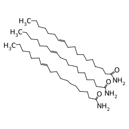 CCCCCCC=CCCCCCCCCCC(N)=O.CCCCCCC=CCCCCCCCCCC(N)=O.CCCCCCC=CCCCCCCCCCC(N)=O